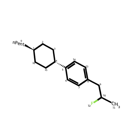 CCCCC[C@H]1CC[C@H](c2ccc(CC(C)F)cc2)CC1